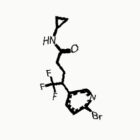 O=C(CCC(c1ccc(Br)nc1)C(F)(F)F)NC1CC1